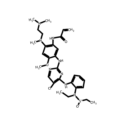 C=CC(=O)Nc1cc(Nc2ncc(Cl)c(Nc3ccccc3N(CC)[S+]([O-])CC)n2)c(OC)cc1N(C)CCN(C)C